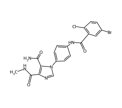 CNC(=O)c1ncn(-c2ccc(NC(=O)c3cc(Br)ccc3Cl)cc2)c1C(N)=O